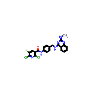 CNc1nc(NCc2ccc(NC(=O)c3cc(F)c(Cl)nc3Cl)cc2)c2ccccc2n1